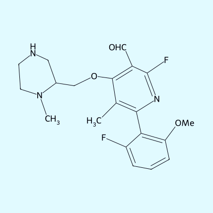 COc1cccc(F)c1-c1nc(F)c(C=O)c(OCC2CNCCN2C)c1C